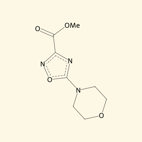 COC(=O)c1noc(N2CCOCC2)n1